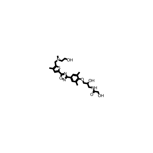 Cc1cc(-c2nc(-c3cc(C)c(OCC(O)CNC(=O)CO)c(C)c3)no2)sc1CN(C)CCO